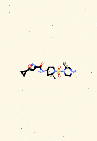 CC[C@H]1CNCCN1S(=O)(=O)N1CC[C@H](NC(=O)c2cc(C3CC3)on2)C[C@@H]1C